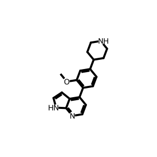 COc1cc(C2CCNCC2)ccc1-c1ccnc2[nH]ccc12